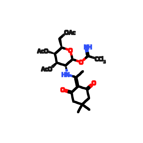 CC(=O)OC[C@H]1OC(OC(=N)C(Cl)(Cl)Cl)[C@H](NC(C)=C2C(=O)CC(C)(C)CC2=O)[C@@H](OC(C)=O)[C@@H]1OC(C)=O